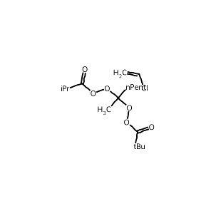 C=CCl.CCCCCC(C)(OOC(=O)C(C)C)OOC(=O)C(C)(C)C